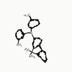 Cc1cccc(N(c2cccc(C)c2)c2ccc3c(c2)C(C)(C)c2ccccc2-3)c1